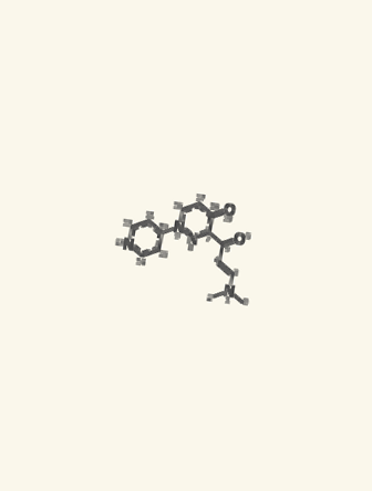 CN(C)/C=C/C(=O)c1nn(-c2ccncc2)ccc1=O